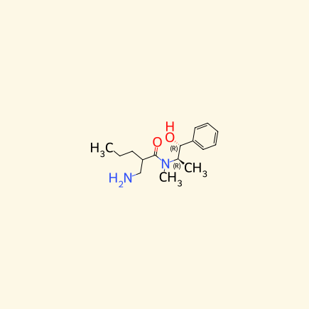 CCCC(CN)C(=O)N(C)[C@H](C)[C@H](O)c1ccccc1